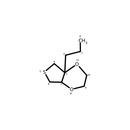 CCCC12CSCC1OCCO2